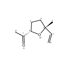 C=C[C@@]1(C)CC[C@@H](C(C)=O)O1